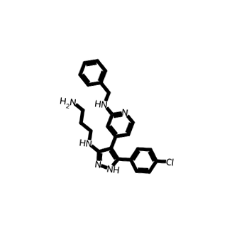 NCCCNc1n[nH]c(-c2ccc(Cl)cc2)c1-c1ccnc(NCc2ccccc2)c1